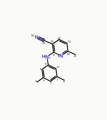 Cc1cc(C)cc(Nc2nc(C)ccc2C#N)c1